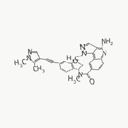 Cc1c(C#Cc2ccc3c(c2)OCC3N(C)C(=O)c2ccc3nc(N)c4cnn(C)c4c3c2)cnn1C